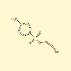 Cc1ccc(S(=O)(=O)ON=C=N)cc1